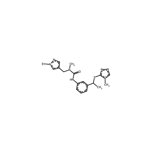 CCn1cc(CN(C)C(=O)Nc2cccc(C(C)Sc3nncn3C)c2)cn1